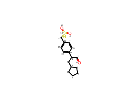 O=CC(CC1CCCC1)c1ccc(C[SH](=O)=O)cc1